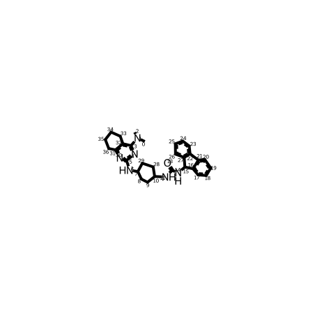 CN(C)c1nc(NC2CCC(NC(=O)NC3c4ccccc4-c4ccccc43)CC2)nc2c1CCCC2